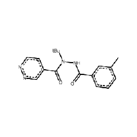 Cc1cccc(C(=O)NN(C(=O)c2ccnnc2)C(C)(C)C)c1